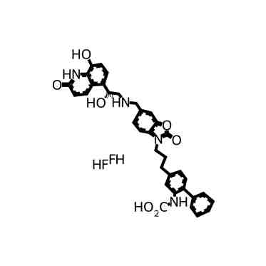 F.F.O=C(O)Nc1cc(CCCn2c(=O)oc3cc(CNC[C@H](O)c4ccc(O)c5[nH]c(=O)ccc45)ccc32)ccc1-c1ccccc1